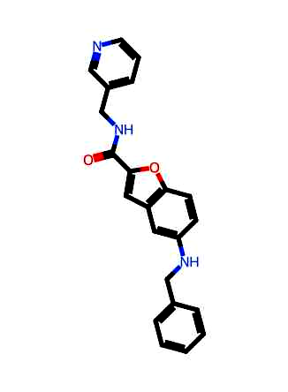 O=C(NCc1cccnc1)c1cc2cc(NCc3ccccc3)ccc2o1